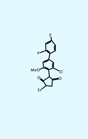 CCC1CC(=O)C(c2c(Cl)cc(-c3ccc(F)cc3F)cc2OC)C1=O